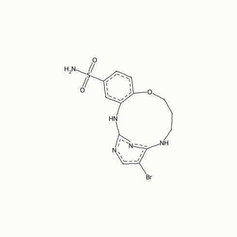 NS(=O)(=O)c1ccc2c(c1)Nc1ncc(Br)c(n1)NCCCO2